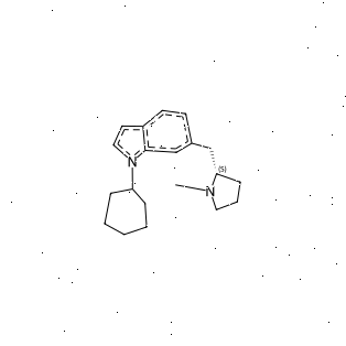 CN1CCC[C@H]1Cc1ccc2ccn(C3CCCCC3)c2c1